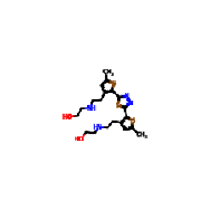 Cc1cc(CCNCCO)c(-c2nnc(-c3sc(C)cc3CCNCCO)s2)s1